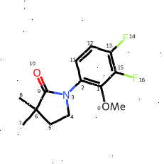 COc1c(N2CCC(C)(C)C2=O)ccc(F)c1F